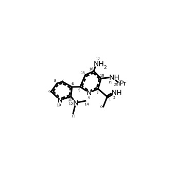 CC(=N)c1nc(-c2cccnc2N(C)C)cc(N)c1NC(C)C